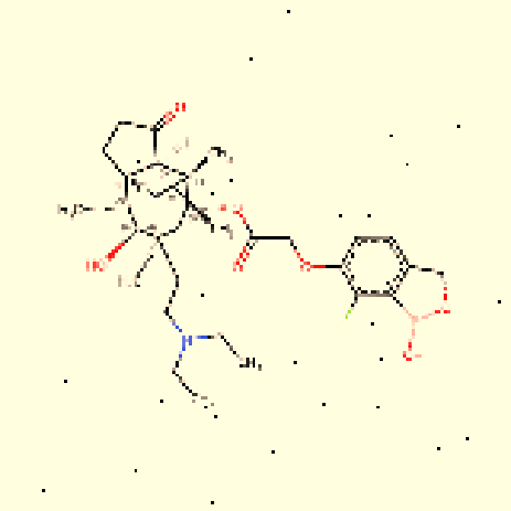 CCN(CC)CC[C@]1(C)C[C@@H](OC(=O)COc2ccc3c(c2F)B(O)OC3)[C@]2(C)[C@H](C)CC[C@]3(CCC(=O)[C@H]32)[C@@H](C)[C@@H]1O